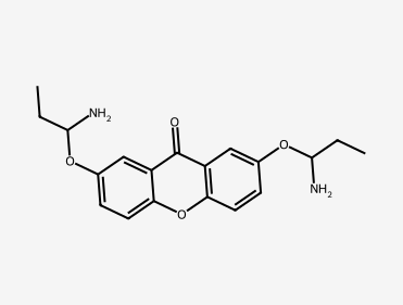 CCC(N)Oc1ccc2oc3ccc(OC(N)CC)cc3c(=O)c2c1